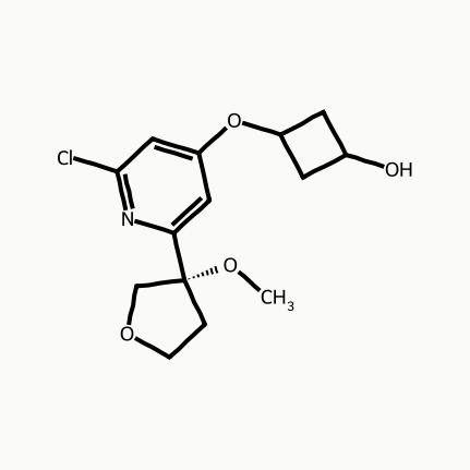 CO[C@]1(c2cc(OC3CC(O)C3)cc(Cl)n2)CCOC1